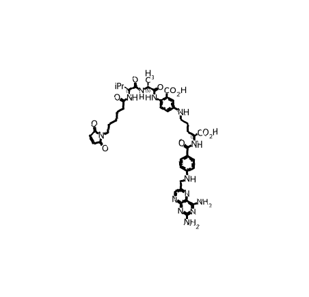 CC(C)[C@H](NC(=O)CCCCCN1C(=O)C=CC1=O)C(=O)N[C@@H](C)C(=O)Nc1ccc(NCCC[C@H](NC(=O)c2ccc(NCc3cnc4nc(N)nc(N)c4n3)cc2)C(=O)O)cc1C(=O)O